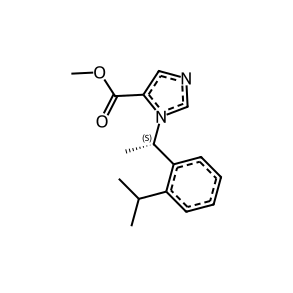 COC(=O)c1cncn1[C@@H](C)c1ccccc1C(C)C